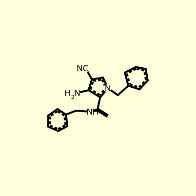 C=C(NCc1ccccc1)c1c(N)c(C#N)cn1Cc1ccccc1